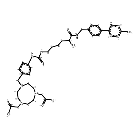 Cc1nnc(-c2ccc(CNC(=O)C(N)CCCCNC(=S)Nc3ccc(CN4CCN(CC(=O)O)CCN(CC(=O)O)CC4)cc3)cc2)nn1